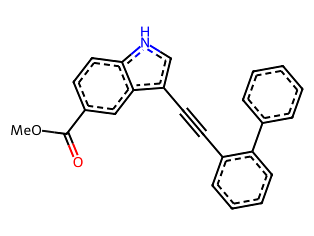 COC(=O)c1ccc2[nH]cc(C#Cc3ccccc3-c3ccccc3)c2c1